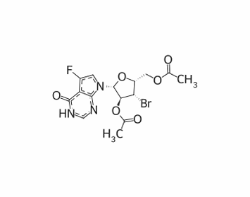 CC(=O)OC[C@H]1O[C@@H](n2cc(F)c3c(=O)[nH]cnc32)[C@H](OC(C)=O)[C@H]1Br